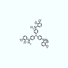 COc1cccc([SiH2]c2ccc(C(c3ccc([SiH2]c4cccc(OC)c4OC)cc3)c3ccc([SiH2]c4cccc(OC)c4OC)cc3)cc2)c1OC